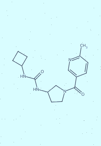 Cc1ccc(C(=O)N2CCC(NC(=O)NC3CCC3)C2)cn1